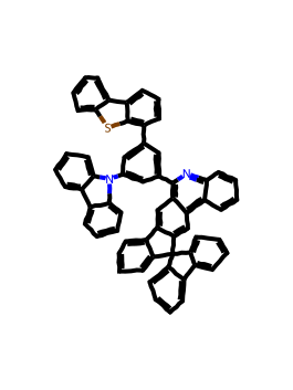 c1ccc2c(c1)-c1ccccc1C21c2ccccc2-c2cc3c(-c4cc(-c5cccc6c5sc5ccccc56)cc(-n5c6ccccc6c6ccccc65)c4)nc4ccccc4c3cc21